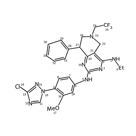 CCNc1nc(Nc2ccc(-n3cnc(Cl)n3)c(OC)c2)nc2c1CN(CC(F)(F)F)CC2c1ccccc1